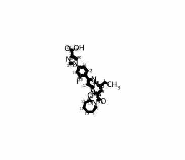 CCc1cc(C(=O)N2CCCCC[C@H]2C)nc2cc(-c3ccc(-n4cnc(C(=O)O)c4)cc3F)nn12